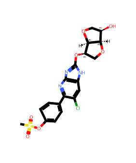 CS(=O)(=O)Oc1ccc(-c2nc3nc(O[C@@H]4CO[C@H]5[C@@H]4OC[C@H]5O)[nH]c3cc2Cl)cc1